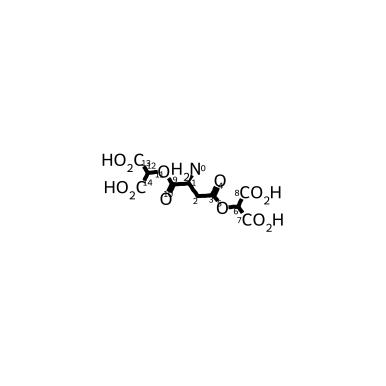 N[C@@H](CC(=O)OC(C(=O)O)C(=O)O)C(=O)OC(C(=O)O)C(=O)O